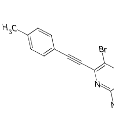 Cc1ccc(C#Cc2nc(N)ccc2Br)cc1